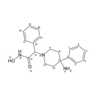 NC1(c2ccccc2)CCN(C(C(=O)NO)c2ccccc2)CC1